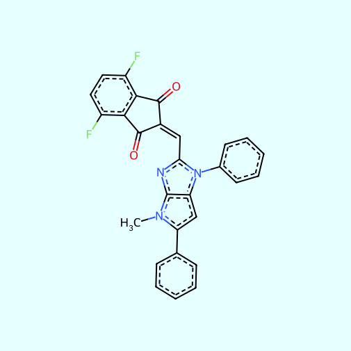 Cn1c(-c2ccccc2)cc2c1nc(C=C1C(=O)c3c(F)ccc(F)c3C1=O)n2-c1ccccc1